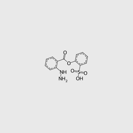 NNc1ccccc1C(=O)Oc1ccccc1S(=O)(=O)O